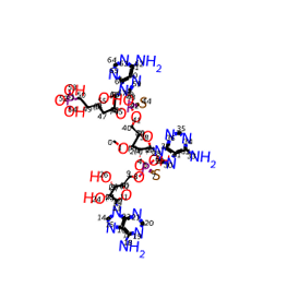 CO[C@H]1[C@@H](OP(O)(=S)OC[C@H]2O[C@@H](n3cnc4c(N)ncnc43)[C@H](O)[C@@H]2O)[C@H](n2cnc3c(N)ncnc32)O[C@@H]1COP(O)(=S)O[C@@H]1C[C@@H](CCP(=O)(O)O)O[C@H]1n1cnc2c(N)ncnc21